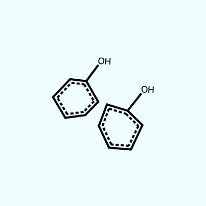 Oc1ccccc1.Oc1ccccc1